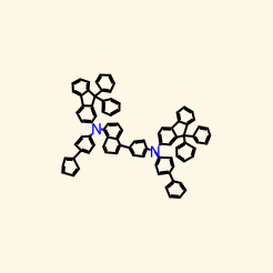 c1ccc(-c2ccc(N(c3ccc(-c4cccc5c(N(c6ccc(-c7ccccc7)cc6)c6ccc7c(c6)C(c6ccccc6)(c6ccccc6)c6ccccc6-7)cccc45)cc3)c3ccc4c(c3)C(c3ccccc3)(c3ccccc3)c3ccccc3-4)cc2)cc1